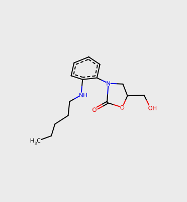 CCCCCNc1ccccc1N1CC(CO)OC1=O